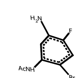 CC(=O)Nc1cc(N)c(F)cc1Br